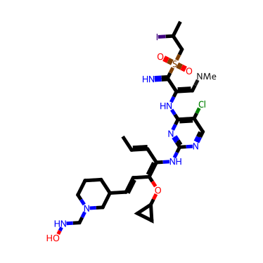 C/C=C/C(Nc1ncc(Cl)c(N/C(=C/NC)C(=N)S(=O)(=O)CC(C)I)n1)=C(\C=C\C1CCCN(CNO)C1)OC1CC1